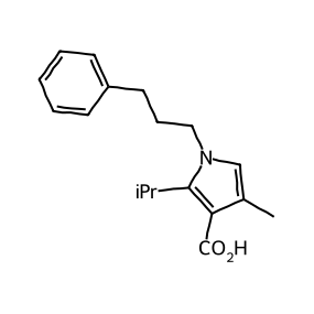 Cc1cn(CCCc2ccccc2)c(C(C)C)c1C(=O)O